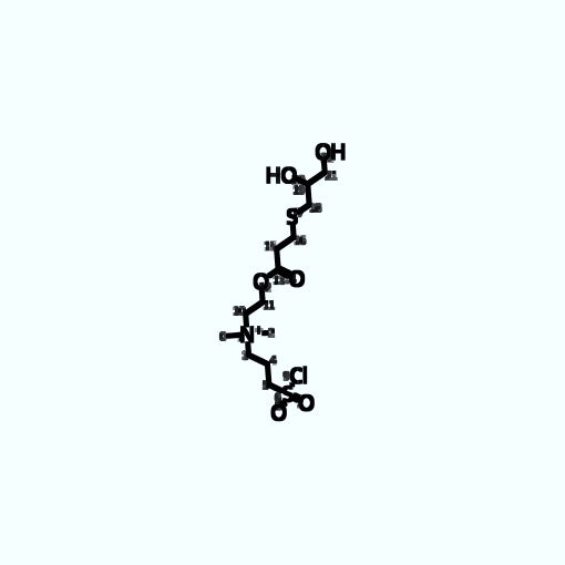 C[N+](C)(CCCS(=O)(=O)Cl)CCOC(=O)CCSCC(O)CO